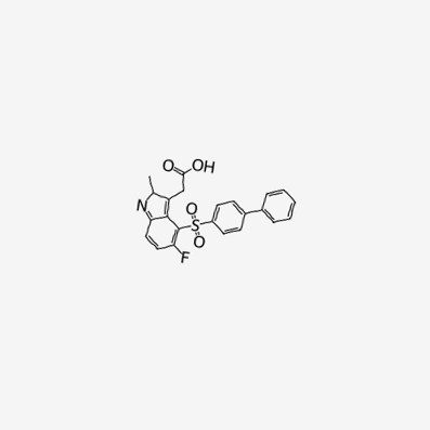 CC1N=c2ccc(F)c(S(=O)(=O)c3ccc(-c4ccccc4)cc3)c2=C1CC(=O)O